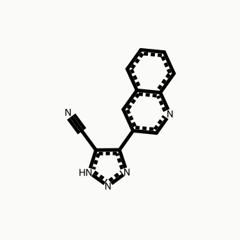 N#Cc1[nH]nnc1-c1cnc2ccccc2c1